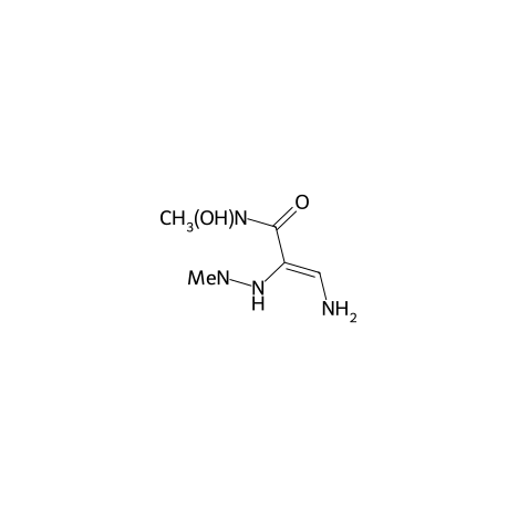 CNN/C(=C\N)C(=O)N(C)O